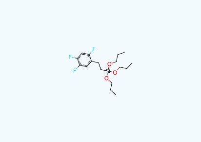 CCCO[Si](CCc1cc(F)c(F)cc1F)(OCCC)OCCC